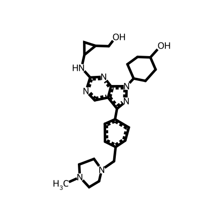 CN1CCN(Cc2ccc(-c3nn(C4CCC(O)CC4)c4nc(NC5CC5CO)ncc34)cc2)CC1